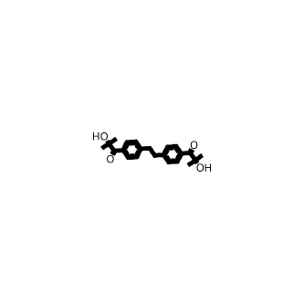 CC(C)(O)C(=O)c1ccc(CCc2ccc(C(=O)C(C)(C)O)cc2)cc1